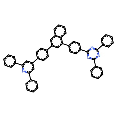 c1ccc(-c2cc(-c3ccc(-c4cc(-c5ccc(-c6nc(-c7ccccc7)nc(-c7ccccc7)n6)cc5)c5ccccc5c4)cc3)cc(-c3ccccc3)n2)cc1